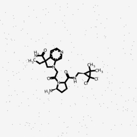 CCC1(C(N)=O)CN(CC(=O)N2C(C(=O)NC[C@H]3C(C)(C)C3(Cl)Cl)CC[C@H]2N)c2cnccc21